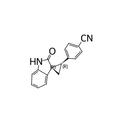 N#Cc1ccc([C@H]2C[C@@]23C(=O)Nc2ccccc23)cc1